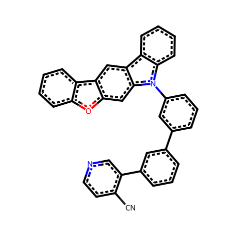 N#Cc1ccncc1-c1cccc(-c2cccc(-n3c4ccccc4c4cc5c(cc43)oc3ccccc35)c2)c1